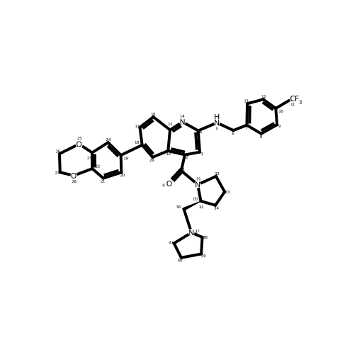 O=C(c1cc(NCc2ccc(C(F)(F)F)cc2)nc2ccc(-c3ccc4c(c3)OCCO4)cc12)N1CCC[C@H]1CN1CCCC1